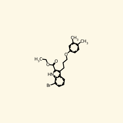 CCOC(=O)c1[nH]c2c(Br)cccc2c1CCCOc1ccc(C)c(C)c1